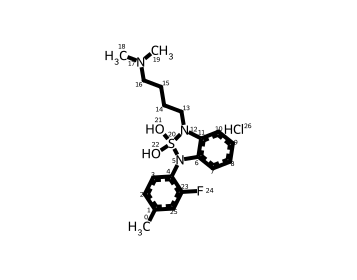 Cc1ccc(N2c3ccccc3N(CCCCN(C)C)S2(O)O)c(F)c1.Cl